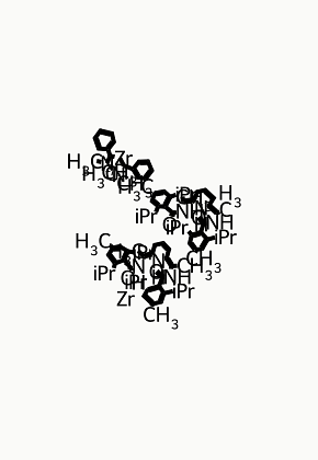 CC(NC(=O)c1c(C(C)C)cc(C)cc1C(C)C)=C1C=CCC(=C(C)NC(=O)c2c(C(C)C)cc(C)cc2C(C)C)N1.CC(NC(=O)c1c(C(C)C)cc(C)cc1C(C)C)=C1C=CCC(=C(C)NC(=O)c2c(C(C)C)cc(C)cc2C(C)C)N1.CN(C)[CH]([Zr][CH](c1ccccc1)N(C)C)c1ccccc1.[Zr]